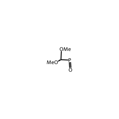 CO[C](OC)P=O